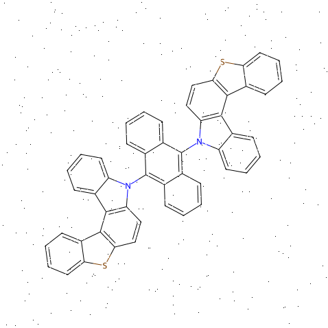 c1ccc2c(c1)sc1ccc3c(c4ccccc4n3-c3c4ccccc4c(-n4c5ccccc5c5c6c(ccc54)sc4ccccc46)c4ccccc34)c12